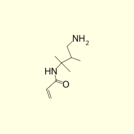 C=CC(=O)NC(C)(C)C(C)CN